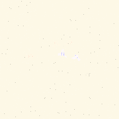 O=c1oc2cc(O)ccc2n1-c1ccc(C(F)(F)F)cn1